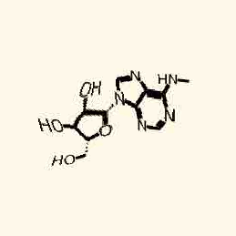 CNc1ncnc2c1ncn2[C@@H]1O[C@H](CO)C(O)[C@H]1O